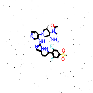 CC(=O)N(C)[C@@H]1[C@H](N)CN(c2ccncc2Nc2ncc3ccc(-c4c(F)cc(S(C)(=O)=O)cc4F)nn23)C[C@@H]1C